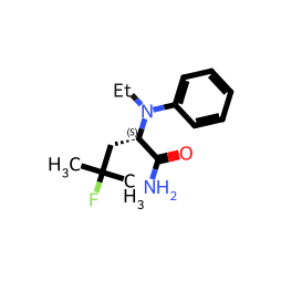 CCN(c1ccccc1)[C@@H](CC(C)(C)F)C(N)=O